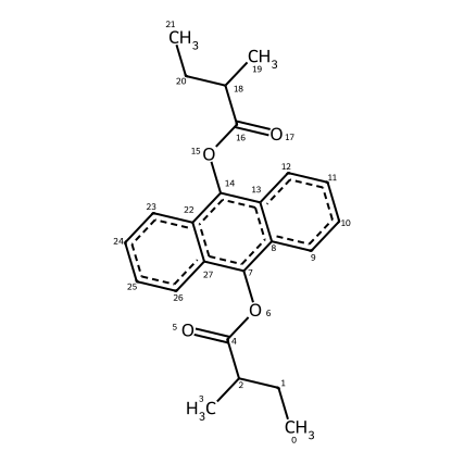 CCC(C)C(=O)Oc1c2ccccc2c(OC(=O)C(C)CC)c2ccccc12